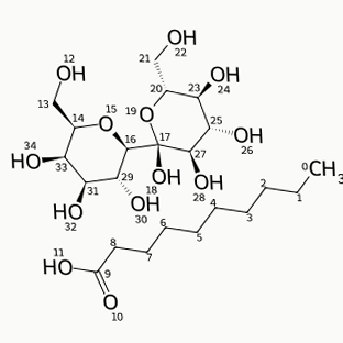 CCCCCCCCCC(=O)O.OC[C@H]1O[C@@H]([C@]2(O)O[C@H](CO)[C@@H](O)[C@H](O)[C@H]2O)[C@H](O)[C@@H](O)[C@H]1O